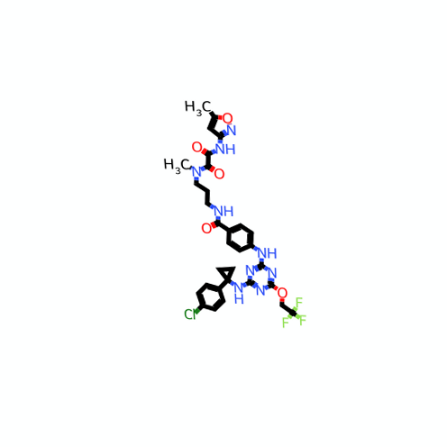 Cc1cc(NC(=O)C(=O)N(C)CCCNC(=O)c2ccc(Nc3nc(NC4(c5ccc(Cl)cc5)CC4)nc(OCC(F)(F)F)n3)cc2)no1